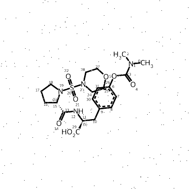 CN(C)C(=O)Oc1ccc(C[C@H](NC(=O)[C@@H]2CCCN2S(=O)(=O)N2CCOCC2)C(=O)O)cc1